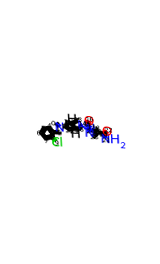 CN(Cc1ccccc1Cl)[C@@H]1C[C@@H]2CN(C(=O)n3cc(C(N)=O)cn3)C[C@@H]2C1